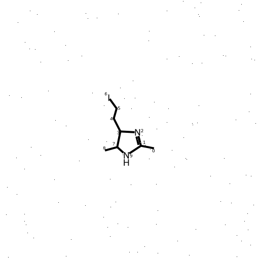 CC1=NC(CCI)C(C)N1